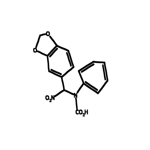 O=C(O)N(c1ccccc1)C(c1ccc2c(c1)OCO2)[N+](=O)[O-]